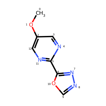 COc1cnc(-c2nnco2)nc1